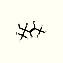 FCC(F)(C(F)=C(F)C(F)(F)F)C(F)(F)F